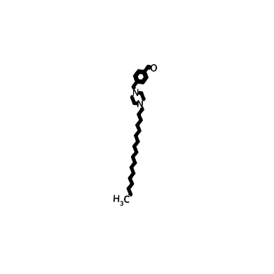 CCCCCCCCCCCCCCCCCCN1CCN(Cc2ccc(C=O)cc2)CC1